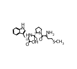 CSCC[C@H](N)C(=O)N1CCC[C@H]1C(=O)N[C@@H](Cc1c[nH]c2ccccc12)C(=O)O